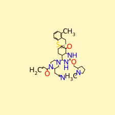 C=CC(=O)N1CCN(C2NC(OCC3CCCN3C)NC3C(=O)[C@@]4(CCc5c(C)cccc5S4)CCC32)CC1CC#N